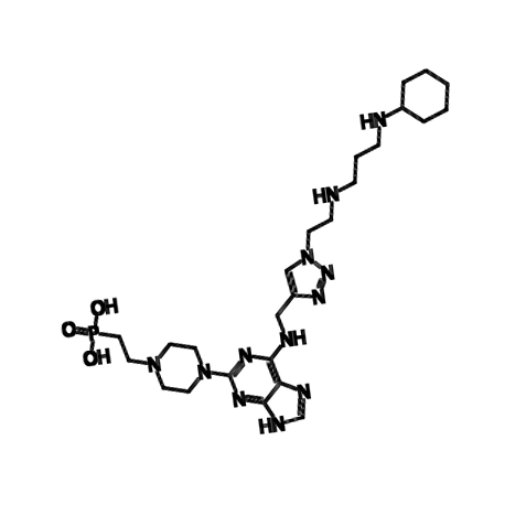 O=P(O)(O)CCN1CCN(c2nc(NCc3cn(CCNCCCNC4CCCCC4)nn3)c3nc[nH]c3n2)CC1